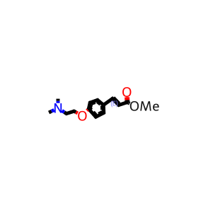 COC(=O)/C=C/c1ccc(OCCN(C)C)cc1